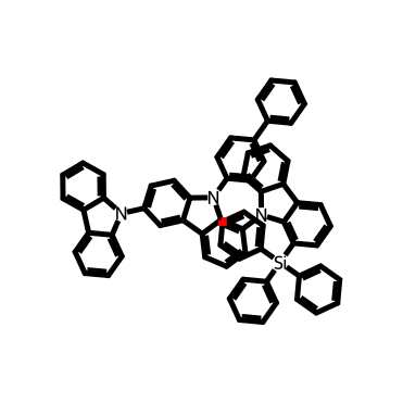 c1ccc(-c2ccc(-n3c4ccc(-n5c6ccccc6c6ccccc65)cc4c4cccc(-n5c6ccccc6c6cccc([Si](c7ccccc7)(c7ccccc7)c7ccccc7)c65)c43)cc2)cc1